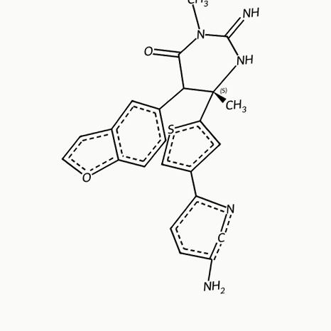 CN1C(=N)N[C@](C)(c2cc(-c3ccc(N)cn3)cs2)C(c2ccc3occc3c2)C1=O